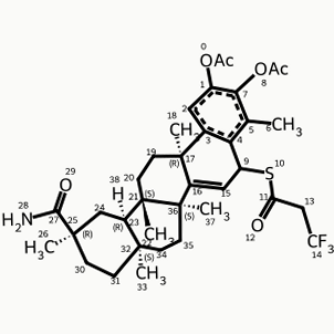 CC(=O)Oc1cc2c(c(C)c1OC(C)=O)C(SC(=O)CC(F)(F)F)C=C1[C@@]2(C)CC[C@@]2(C)[C@@H]3C[C@](C)(C(N)=O)CC[C@]3(C)CC[C@]12C